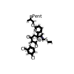 C=CS/C=C(\C)C1(c2cccc(OCC(C)CCCCC)n2)CC(=O)C(Sc2ccc(Cl)cc2Cl)C(=O)N1